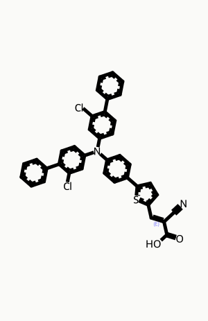 N#C/C(=C\c1ccc(-c2ccc(N(c3ccc(-c4ccccc4)c(Cl)c3)c3ccc(-c4ccccc4)c(Cl)c3)cc2)s1)C(=O)O